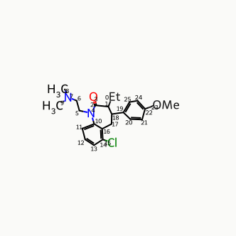 CCC1C(=O)N(CCN(C)C)c2cccc(Cl)c2CC1c1ccc(OC)cc1